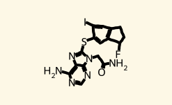 NC(=O)Cn1c(Sc2cc3c(cc2I)CCC3F)nc2c(N)ncnc21